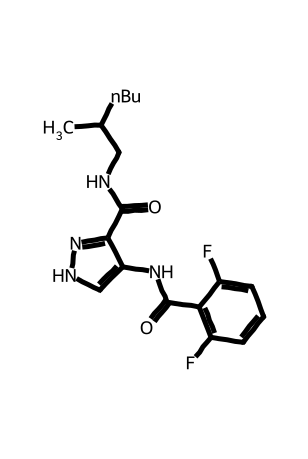 CCCCC(C)CNC(=O)c1n[nH]cc1NC(=O)c1c(F)cccc1F